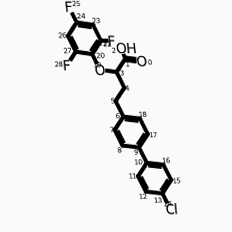 O=C(O)C(CCc1ccc(-c2ccc(Cl)cc2)cc1)Oc1c(F)cc(F)cc1F